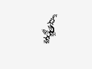 Cc1c(-c2[nH]c3ccc(N4CCN(C(C)C)C[C@@H]4C)nc3c2C(C)C)cn2ncnc2c1C